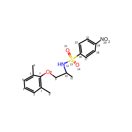 Cc1cccc(C)c1OCC(C)NS(=O)(=O)c1ccc([N+](=O)[O-])cc1